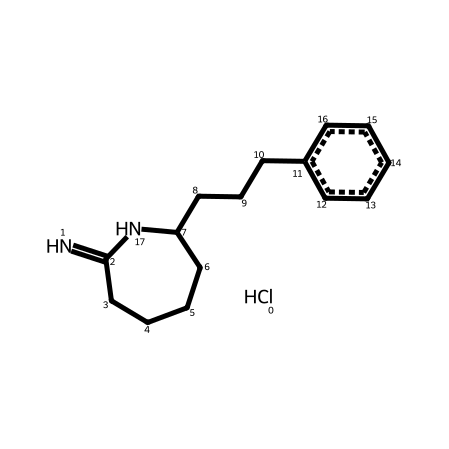 Cl.N=C1CCCCC(CCCc2ccccc2)N1